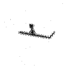 CCCCC/C=C\CCCCCCCC/C=C/CCC(CCCC/C=C/CCCCC)OC(=O)CCCCN(C)C